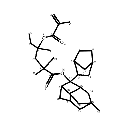 C=C(C)C(=O)OC(C)(CC)CC(C)(C)C(=O)OC1(C2CC3CCC2C3)C2CC3CC1CC(C)(C3)C2